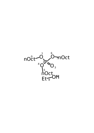 CCCCCCCCOP(=O)(OCCCCCCCC)OCCCCCCCC.CCO